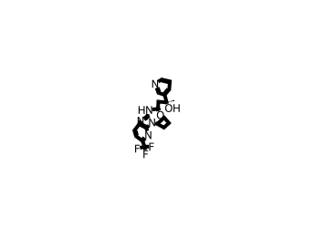 C[C@](O)(CC(=O)Nc1nc2ccc(C(F)(F)F)nc2n1C1CCC1)c1cccnc1